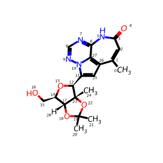 CC1=CC(=O)Nc2ncnn3c([C@@H]4O[C@H](CO)[C@H]5OC(C)(C)O[C@]54C)cc1c23